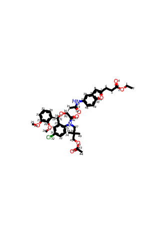 CCOC(=O)CCc1cc2cc(NC(=O)C[C@H]3O[C@H](c4cccc(OC)c4OC)c4cc(Cl)ccc4N(CC(C)(C)COC(C)=O)C3=O)ccc2o1